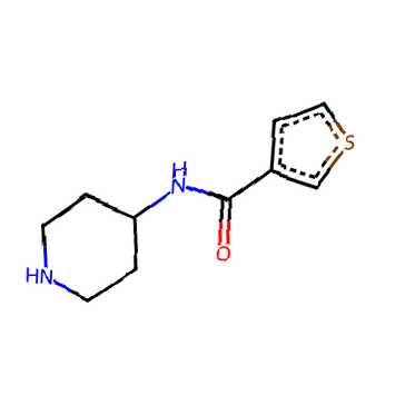 O=C(NC1CCNCC1)c1ccsc1